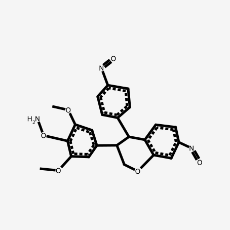 COc1cc(C2COc3cc(N=O)ccc3C2c2ccc(N=O)cc2)cc(OC)c1ON